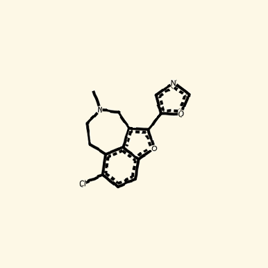 CN1CCc2c(Cl)ccc3oc(-c4cnco4)c(c23)C1